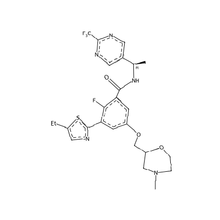 CCc1cnc(-c2cc(OCC3CN(C)CCO3)cc(C(=O)N[C@H](C)c3cnc(C(F)(F)F)nc3)c2F)s1